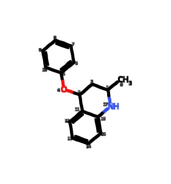 CC1CC(Oc2ccccc2)c2ccccc2N1